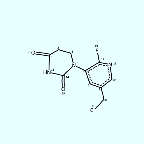 O=C1CCN(c2cc(CCl)cnc2F)C(=O)N1